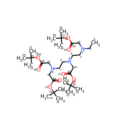 CCN(CCN(CCN(CC(=O)OC(C)(C)C)CC(=O)OC(C)(C)C)CC(=O)OC(C)(C)C)CC(=O)OC(C)(C)C